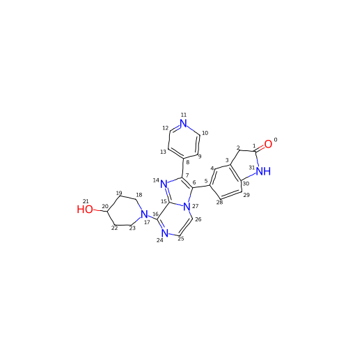 O=C1Cc2cc(-c3c(-c4ccncc4)nc4c(N5CCC(O)CC5)nccn34)ccc2N1